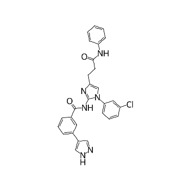 O=C(CCc1cn(-c2cccc(Cl)c2)c(NC(=O)c2cccc(-c3cn[nH]c3)c2)n1)Nc1ccccc1